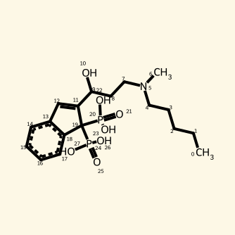 CCCCCN(C)CCC(O)C1=Cc2ccccc2C1(P(=O)(O)O)P(=O)(O)O